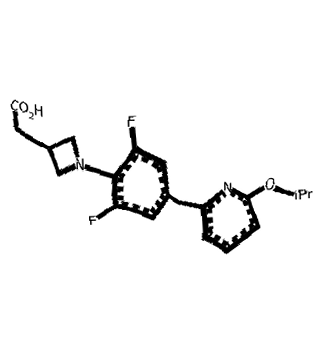 CC(C)Oc1cccc(-c2cc(F)c(N3CC(CC(=O)O)C3)c(F)c2)n1